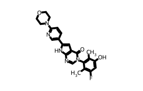 Cc1c(O)cc(F)c(C)c1-n1cnc2[nH]c(-c3ccc(N4CCOCC4)nc3)cc2c1=O